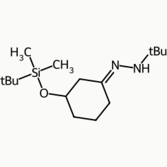 CC(C)(C)NN=C1CCCC(O[Si](C)(C)C(C)(C)C)C1